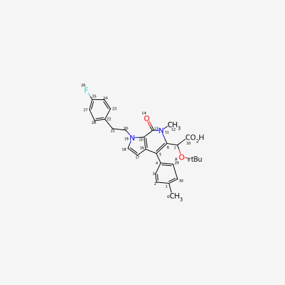 Cc1ccc(-c2c(C(OC(C)(C)C)C(=O)O)n(C)c(=O)c3c2ccn3CCc2ccc(F)cc2)cc1